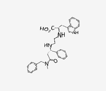 CN(Cc1ccccc1)C(=O)C[C@H](NCCNC(Cc1c[nH]c2ccccc12)C(=O)O)c1ccccc1